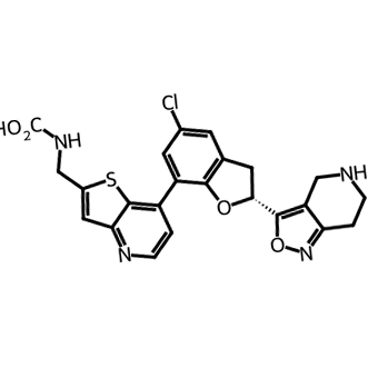 O=C(O)NCc1cc2nccc(-c3cc(Cl)cc4c3O[C@@H](c3onc5c3CNCC5)C4)c2s1